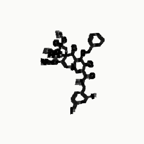 CCOP(=O)(CC1(C)C(=O)c2c(OCc3ccccc3)c(=O)c(C(=O)NCc3ccc(F)cc3F)cn2CC1OC)OCC